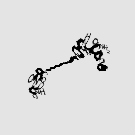 NC(=O)c1c(-c2ccc(Oc3ccccc3)cc2)nn2c1NCCC2C1CCN(CCCCCCCCCCSc2cccc3c2C(=O)N(C2CCC(=O)NC2=O)C3=O)CC1